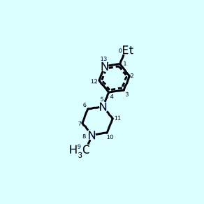 CCc1ccc(N2CCN(C)CC2)cn1